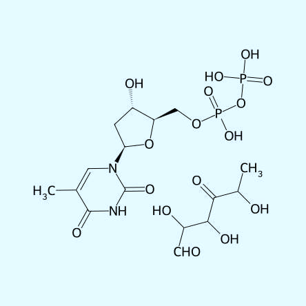 CC(O)C(=O)C(O)C(O)C=O.Cc1cn([C@H]2C[C@H](O)[C@@H](COP(=O)(O)OP(=O)(O)O)O2)c(=O)[nH]c1=O